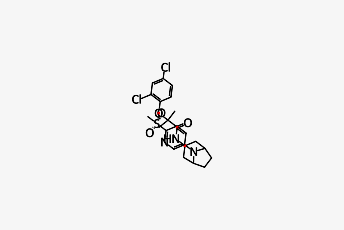 CC(C)(Oc1ccc(Cl)cc1Cl)C(=O)NC1CC2CCC(C1)N2c1ccc(S(C)(=O)=O)nc1